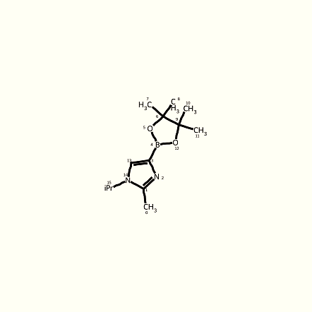 Cc1nc(B2OC(C)(C)C(C)(C)O2)cn1C(C)C